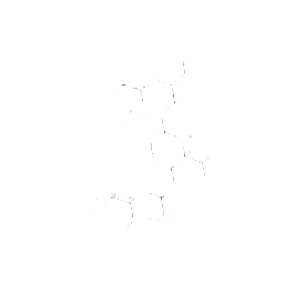 CCC(COC(CC)OC(CC)COC(CO)OC(CC)CO)OC(CC)OC